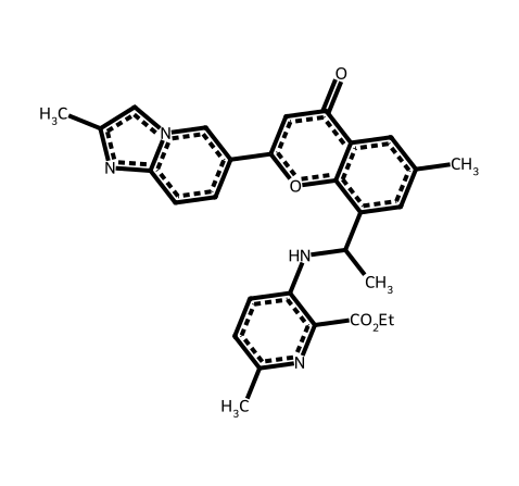 CCOC(=O)c1nc(C)ccc1NC(C)c1cc(C)cc2c(=O)cc(-c3ccc4nc(C)cn4c3)oc12